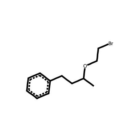 CC(CCc1ccccc1)OCCBr